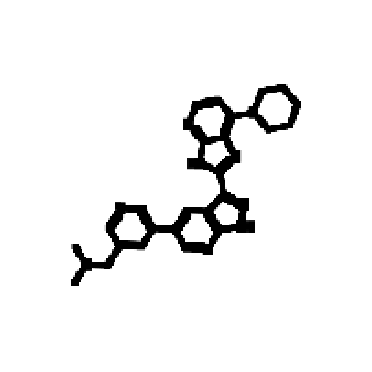 CN(C)Cc1cncc(-c2cnc3[nH]nc(-c4nc5c(N6CCCCC6)ccnc5[nH]4)c3c2)c1